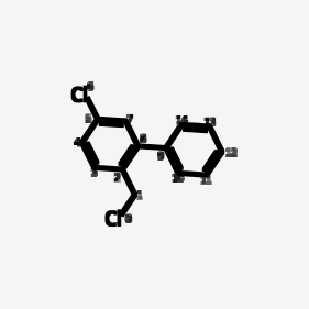 ClCc1ccc(Cl)cc1-c1ccccc1